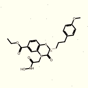 CCOC(=O)c1ccc2c(c1)N(CC(=O)NO)C(=O)[C@@H](CCCc1ccc(OC)cc1)S2